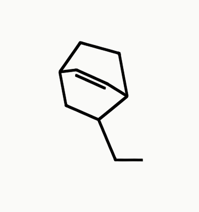 CCC1CC2C=CC1CC2